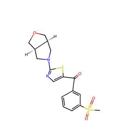 CS(=O)(=O)c1cccc(C(=O)c2cnc(N3C[C@H]4COC[C@H]4C3)s2)c1